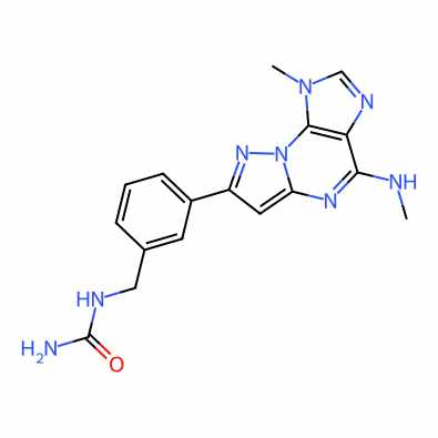 CNc1nc2cc(-c3cccc(CNC(N)=O)c3)nn2c2c1ncn2C